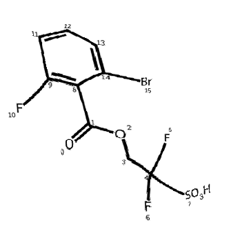 O=C(OCC(F)(F)S(=O)(=O)O)c1c(F)cccc1Br